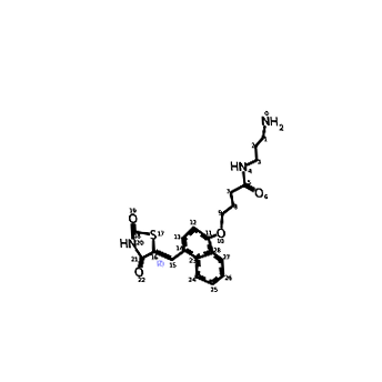 NCCCNC(=O)CCCOc1ccc(/C=C2\SC(=O)NC2=O)c2ccccc12